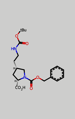 CC(C)(C)OC(=O)NCC[C@H]1C[C@@H](C(=O)O)N(C(=O)OCc2ccccc2)C1